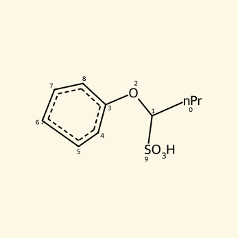 CCCC(Oc1cc[c]cc1)S(=O)(=O)O